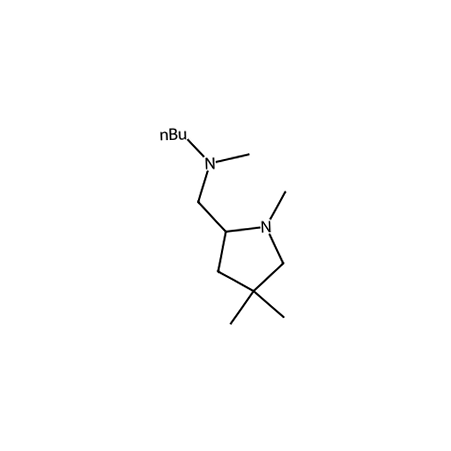 CCCCN(C)CC1CC(C)(C)CN1C